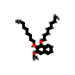 CCCCCCCCOc1c(OC)cc2ccccc2c1OCCCCCCCC